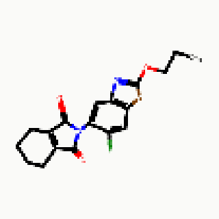 CCCOc1nc2cc(N3C(=O)C4=C(CCCC4)C3=O)c(F)cc2s1